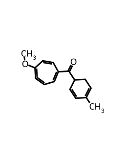 COC1=C=CC=C(C(=O)C2C=CC(C)=CC2)C=C1